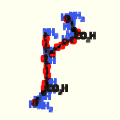 NCCCOCCOCCOCCCN(CCC(=O)NCCCOCCOCCOCCCNC(=O)CCC(NC(=O)c1ccc(NCc2cnc3c(=O)[nH]c(N)nc3n2)cc1)C(=O)O)CCC(=O)NCCCOCCOCCOCCCNC(=O)CCC(NC(=O)c1ccc(NCc2cnc3c(=O)[nH]c(N)nc3n2)cc1)C(=O)O